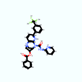 O=C(OC1CN2CC1N(C(=O)Nc1ccccn1)c1nc(-c3cccc(C(F)(F)F)c3)ccc12)c1ccccc1